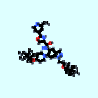 Cc1cc(-c2nc(C(=O)Nc3cc4cnn(CCO[Si](C)(C)C(C)(C)C)c4cc3N3CCC(O[Si](C)(C)C(C)(C)C)CC3)co2)ccn1